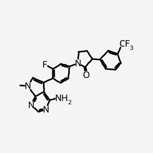 Cn1cc(-c2ccc(N3CCC(c4cccc(C(F)(F)F)c4)C3=O)cc2F)c2c(N)ncnc21